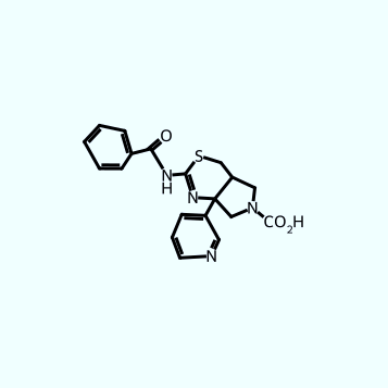 O=C(NC1=NC2(c3cccnc3)CN(C(=O)O)CC2CS1)c1ccccc1